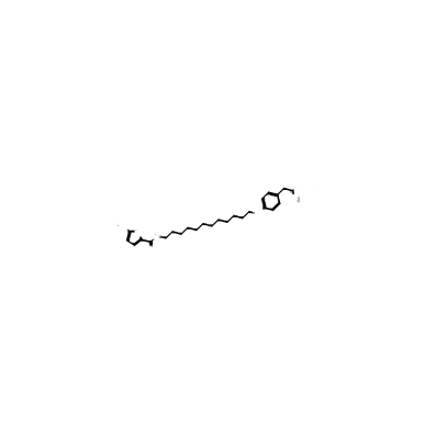 N#Cc1ccc(C(=O)NCCCCCCCCCCCCOc2ccc(C[C@H](N)C(=O)O)cc2)s1